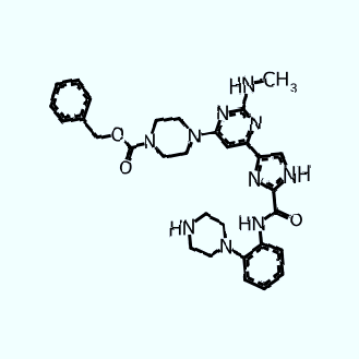 CNc1nc(-c2c[nH]c(C(=O)Nc3ccccc3N3CCNCC3)n2)cc(N2CCN(C(=O)OCc3ccccc3)CC2)n1